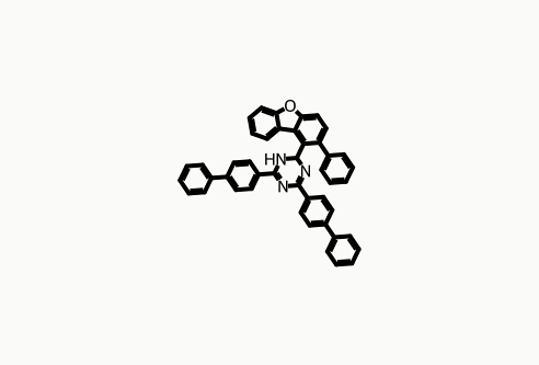 c1ccc(-c2ccc(C3=NC(c4c(-c5ccccc5)ccc5oc6ccccc6c45)NC(c4ccc(-c5ccccc5)cc4)=N3)cc2)cc1